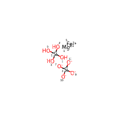 O[Si](O)(O)O.[Fe+2].[Mg+2].[O-][Si]([O-])([O-])[O-]